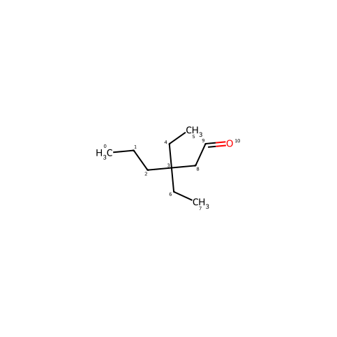 CCCC(CC)(CC)CC=O